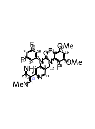 CN/C=C(\C(C)=N)c1cc2c(cn1)CN(c1c(F)c(OC)cc(OC)c1F)C(=O)N2c1cc(F)cc(F)c1